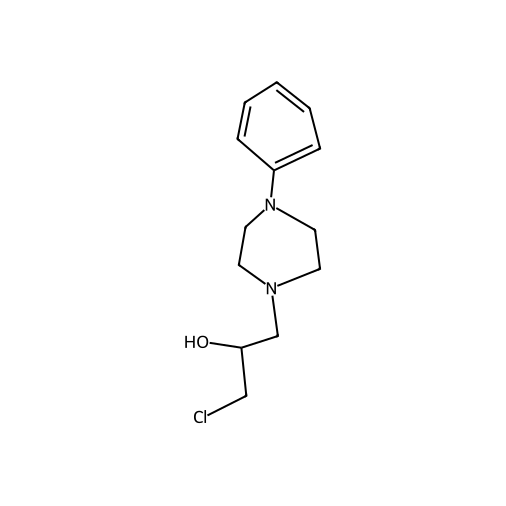 OC(CCl)CN1CCN(c2ccccc2)CC1